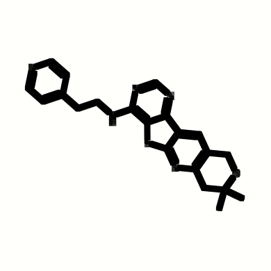 CC1(C)Cc2nc3sc4c(NCCc5ccncc5)ncnc4c3cc2CO1